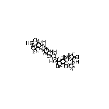 CC(O)(CC1CCC(Nc2nc(Nc3cc(Cl)c4c(c3)C(C)(C)OB4O)ncc2Cl)C1)c1cc(Nc2ncc(Cl)c(NC3CCCC3)n2)cc(Cl)c1Br